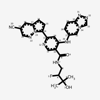 CC(C)(O)C(F)CNC(=O)c1cnc(-c2ccc3cc(C#N)cnn23)cc1Nc1ccc2nncn2c1